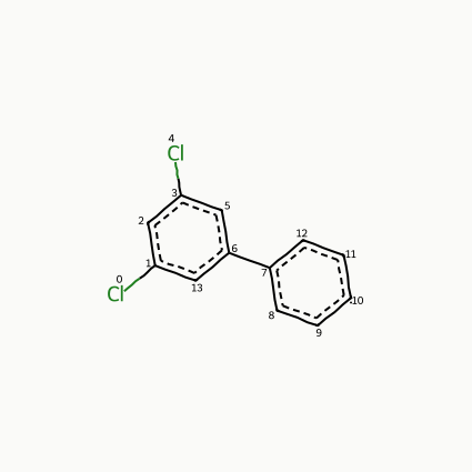 Clc1cc(Cl)cc(-c2cc[c]cc2)c1